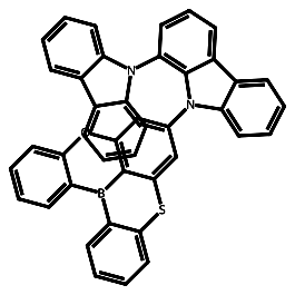 c1ccc2c(c1)Oc1cc(-n3c4ccccc4c4cccc(-n5c6ccccc6c6ccccc65)c43)cc3c1B2c1ccccc1S3